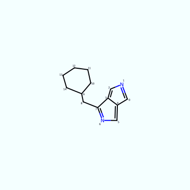 C1=NC=C2C1=CN=C2CC1CCCCC1